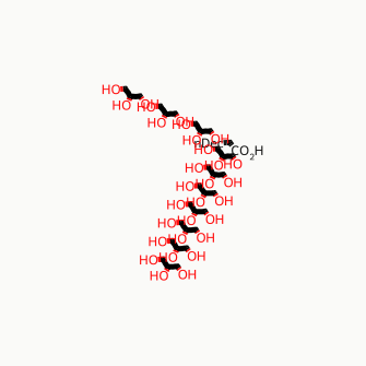 CCCCCCCCCCCC(=O)O.OCC(O)CO.OCC(O)CO.OCC(O)CO.OCC(O)CO.OCC(O)CO.OCC(O)CO.OCC(O)CO.OCC(O)CO.OCC(O)CO.OCC(O)CO